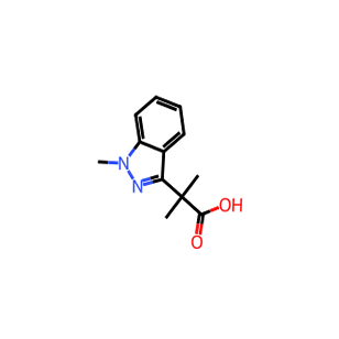 Cn1nc(C(C)(C)C(=O)O)c2ccccc21